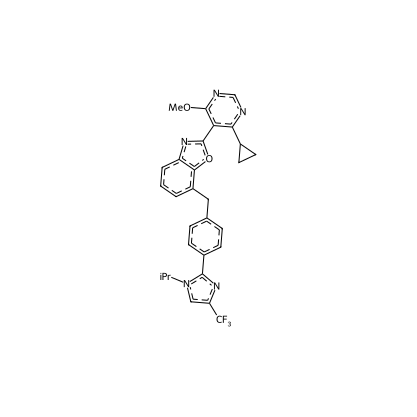 COc1ncnc(C2CC2)c1-c1nc2cccc(Cc3ccc(-c4nc(C(F)(F)F)cn4C(C)C)cc3)c2o1